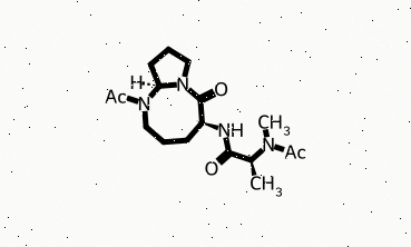 CC(=O)N(C)[C@@H](C)C(=O)N[C@H]1CCCN(C(C)=O)[C@H]2CCCN2C1=O